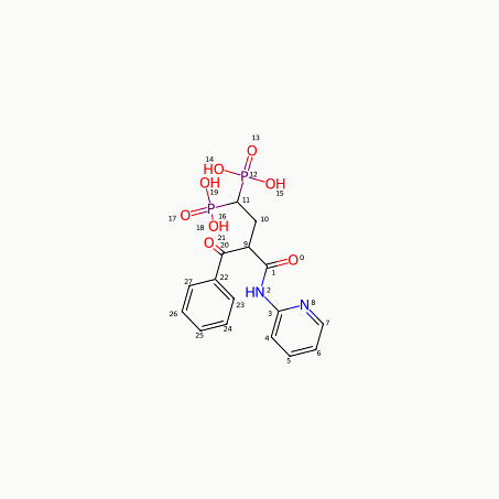 O=C(Nc1ccccn1)C(CC(P(=O)(O)O)P(=O)(O)O)C(=O)c1ccccc1